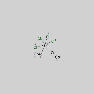 C[C](=O)[Co]([Cl])([Cl])([Cl])[Cl].[Co].[Co].[Co]